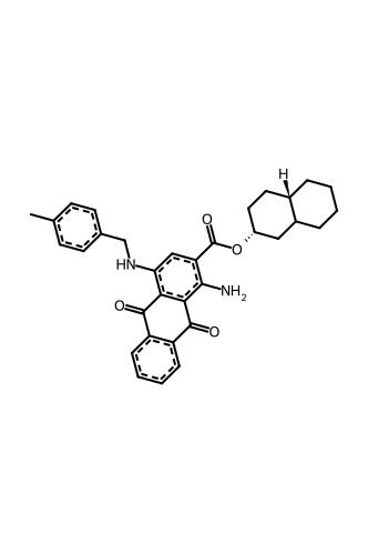 Cc1ccc(CNc2cc(C(=O)O[C@@H]3CC[C@@H]4CCCCC4C3)c(N)c3c2C(=O)c2ccccc2C3=O)cc1